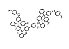 C=Cc1ccc(Oc2ccc(C3(c4ccc(F)cc4)c4ccccc4-c4ccc(N(c5ccc(-c6ccc(N(c7ccc8c(c7)C(c7ccc(F)cc7)(c7ccc(Oc9ccc(C=C)cc9)cc7)c7ccccc7-8)c7c(F)cccc7F)cc6)cc5)c5c(F)cccc5F)cc43)cc2)cc1